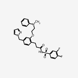 CN(CCOc1cc(Cn2cccn2)ccc1CCC(=O)NS(=O)(=O)c1ccc(F)c(F)c1)c1ccccc1